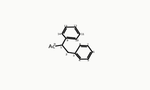 CC(=O)[C](Cc1ccccc1)c1ccccc1